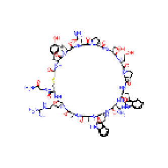 CCCC[C@H]1C(=O)N[C@@H](CC(N)=O)C(=O)N2CCC[C@H]2C(=O)N[C@@H](CO)C(=O)N[C@@H](CCO)C(=O)N2CCC[C@H]2C(=O)N[C@@H](Cc2c[nH]c3ccccc23)C(=O)N[C@@H](CN)C(=O)N[C@@H](Cc2c[nH]c3ccccc23)C(=O)N(C)[C@@H](C)C(=O)N(C)[C@@H](C)C(=O)N[C@@H](CCCNC(=N)N)C(=O)NC(C(=O)NCC(N)=O)CSCC(=O)N[C@@H](Cc2ccc(O)cc2)C(=O)N1C